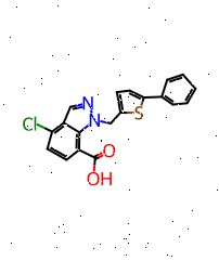 O=C(O)c1ccc(Cl)c2cnn(Cc3ccc(-c4ccccc4)s3)c12